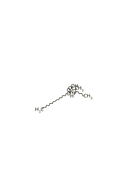 CCCCCCCCCCCCCCCCOC(=O)NC(C(=O)O)C(C)C(F)CCCCC